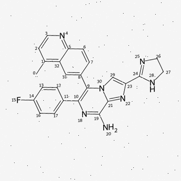 Cc1ccnc2ccc(-c3c(-c4ccc(F)cc4)nc(N)c4nc(C5=NCCN5)cn34)cc12